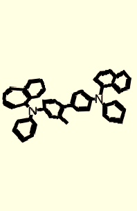 Cc1cc(N(c2ccccc2)C2C#CC=CC3=C2C=CCC3)ccc1-c1ccc(N(c2ccccc2)c2cccc3ccccc23)cc1